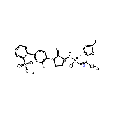 C/C(=C/S(=O)(=O)N[C@H]1CCN(c2ccc(-c3ccccc3S(C)(=O)=O)cc2F)C1=O)c1ccc(Cl)s1